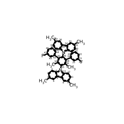 Cc1ccc2c(c1)c1cc(C)ccc1n2-c1c(C)c(-c2cccc(F)c2)c(-n2c3ccc(C)cc3c3cc(C)ccc32)c(-c2cccc(F)c2)c1C